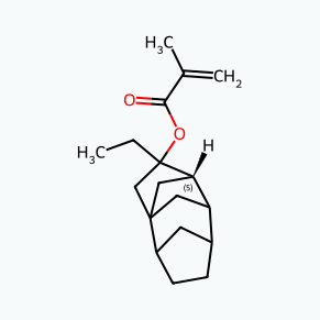 C=C(C)C(=O)OC1(CC)CC23CC(C4CCC2C4)[C@@H]1C3